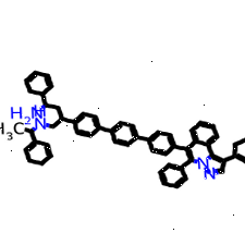 CC(NCC(CC(N)C1C=CC=CC1)c1ccc(-c2ccc(-c3ccc(-c4c(-c5ccccc5)n5ncc(C6=CC=CCC6)c5c5ccccc45)cc3)cc2)cc1)C1=CCCC=C1